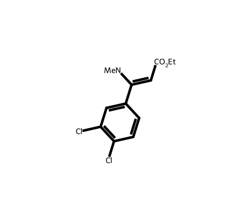 CCOC(=O)/C=C(\NC)c1ccc(Cl)c(Cl)c1